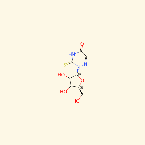 O=c1cnn([C@H]2O[C@@H](CO)C(O)C2O)c(=S)[nH]1